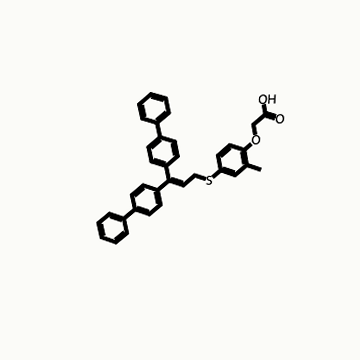 Cc1cc(SCC=C(c2ccc(-c3ccccc3)cc2)c2ccc(-c3ccccc3)cc2)ccc1OCC(=O)O